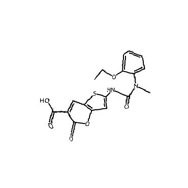 CCOc1ccccc1N(C)C(=O)Nc1cc2oc(=O)c(C(=O)O)cc2s1